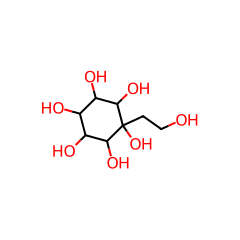 OCCC1(O)C(O)C(O)C(O)C(O)C1O